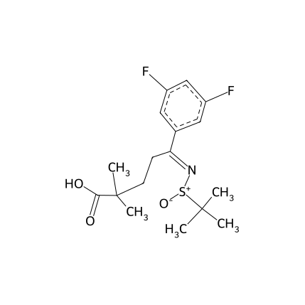 CC(C)(CCC(=N[S+]([O-])C(C)(C)C)c1cc(F)cc(F)c1)C(=O)O